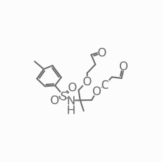 Cc1ccc(S(=O)(=O)NC(C)(COCCC=O)COCCC=O)cc1